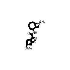 COc1ccc2c(C(=O)NC3CCCCC4C3CN4C)nsc2c1